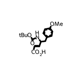 COc1ccc(CC(/C=C/C(=O)O)NC(=O)OC(C)(C)C)cc1